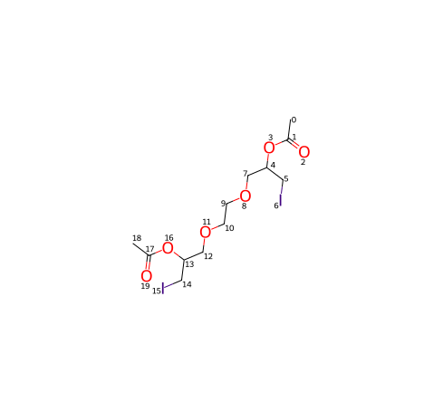 CC(=O)OC(CI)COCCOCC(CI)OC(C)=O